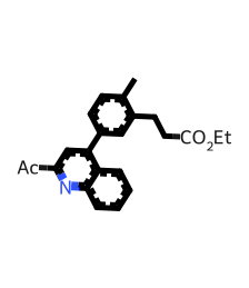 CCOC(=O)CCc1cc(-c2cc(C(C)=O)nc3ccccc23)ccc1C